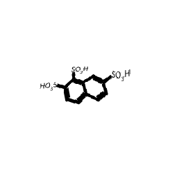 O=S(=O)(O)c1ccc2ccc(S(=O)(=O)O)c(S(=O)(=O)O)c2c1